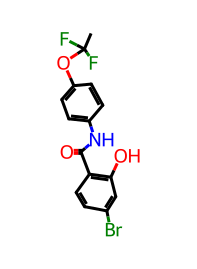 CC(F)(F)Oc1ccc(NC(=O)c2ccc(Br)cc2O)cc1